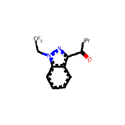 CC(C)C(=O)c1nn(CC(F)(F)F)c2ccccc12